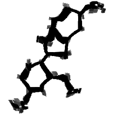 Cc1cnc(-c2nc3cc(C)ccc3[nH]2)c(CO)c1